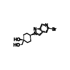 OC[C@]1(O)CC[C@@H](n2cc3cc(Br)ncc3n2)CC1